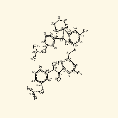 O=C(c1cc(F)cc(CCc2cc(F)cc(C3(C(O)c4cccc(OC(F)F)c4)SCCCS3)c2)c1)C(O)c1cccc(OC(F)F)c1